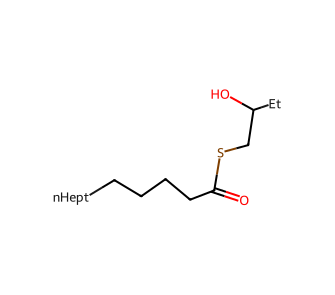 CCCCCCCCCCCC(=O)SCC(O)CC